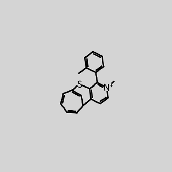 Cc1ccccc1-c1c2c(cc[n+]1C)C1C=CC=CC(=C1)S2